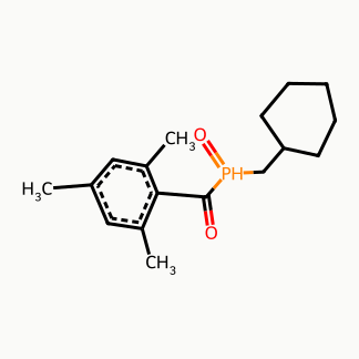 Cc1cc(C)c(C(=O)[PH](=O)CC2CCCCC2)c(C)c1